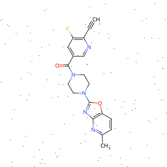 C#Cc1ncc(C(=O)N2CCN(c3nc4nc(C)ccc4o3)CC2)cc1F